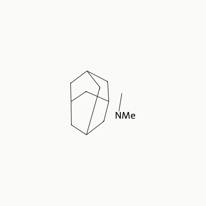 C1C2CC3CC1CC(C2)C3.CNC